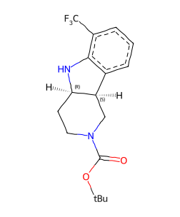 CC(C)(C)OC(=O)N1CC[C@H]2Nc3c(cccc3C(F)(F)F)[C@H]2C1